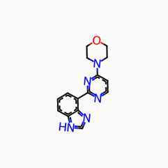 c1cc(-c2nccc(N3CCOCC3)n2)c2nc[nH]c2c1